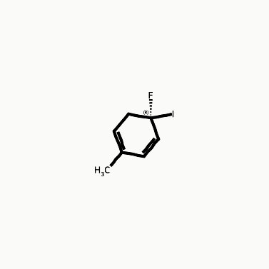 CC1=CC[C@@](F)(I)C=C1